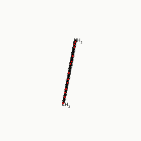 CCCOCCOCCOCCOCCOCCOCCOCCOCCOCCOCCOCCOCCOCCOCCOCCOCCOCCOCCOCCOCCOCCOCCOCCN